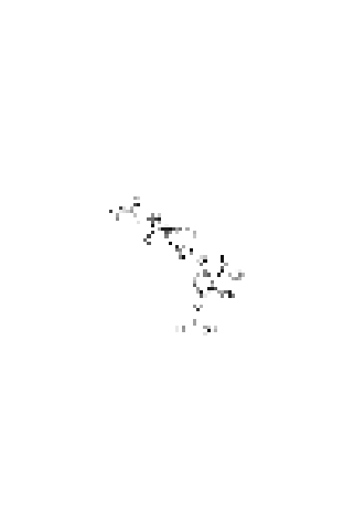 C[C@H](Cc1ccc(OC2CN(C[C@](C)(N)C(=O)NCC(N)=O)C2)c(C(=O)O)c1O)B(O)O